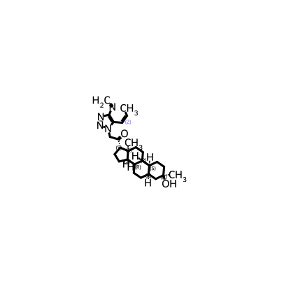 C=Nc1nnn(CC(=O)[C@H]2CC[C@H]3[C@@H]4CC[C@@H]5C[C@](C)(O)CC[C@@H]5[C@H]4CC[C@]23C)c1/C=C\C